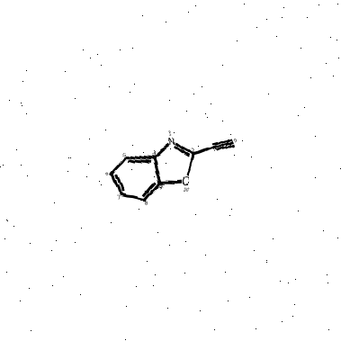 C#Cc1nc2ccccc2o1